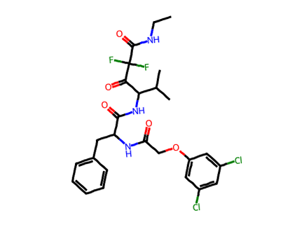 CCNC(=O)C(F)(F)C(=O)C(NC(=O)C(Cc1ccccc1)NC(=O)COc1cc(Cl)cc(Cl)c1)C(C)C